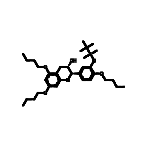 CCCCOc1cc(OCCCC)c2c(c1)O[C@H](c1ccc(OCCCC)c(O[Si](C)(C)C(C)(C)C)c1)[C@@H](O)C2